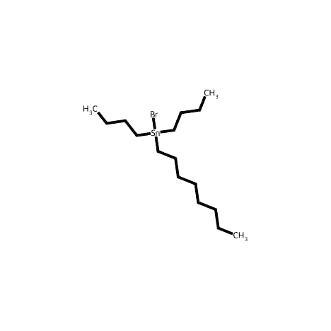 CCCCCCC[CH2][Sn]([Br])([CH2]CCC)[CH2]CCC